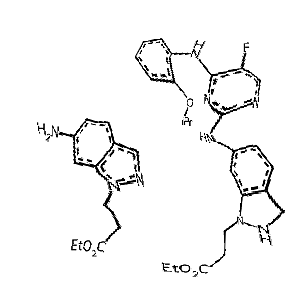 CCOC(=O)CCN1NCc2ccc(Nc3ncc(F)c(Nc4ccccc4OC(C)C)n3)cc21.CCOC(=O)CCn1ncc2ccc(N)cc21